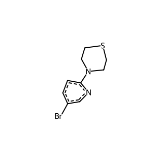 Brc1ccc(N2CCSCC2)nc1